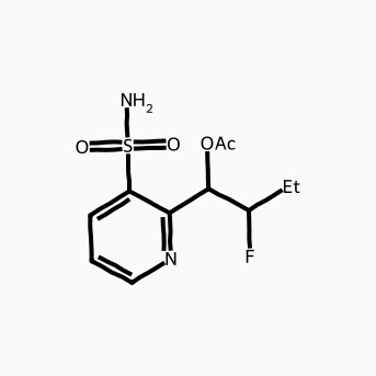 CCC(F)C(OC(C)=O)c1ncccc1S(N)(=O)=O